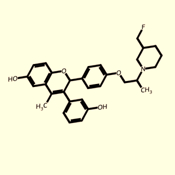 CC1=C(c2cccc(O)c2)C(c2ccc(OCC(C)N3CCCC(CF)C3)cc2)Oc2ccc(O)cc21